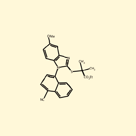 CCOC(=O)C(C)(C)Sc1nc2cc(OC)ccc2n1-c1ccc(C#N)c2ccccc12